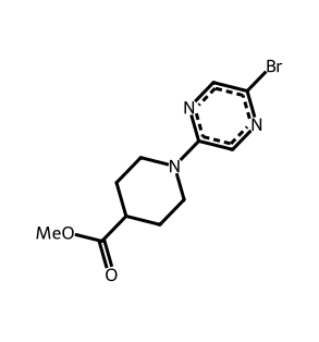 COC(=O)C1CCN(c2cnc(Br)cn2)CC1